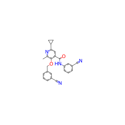 Cc1nc(C2CC2)cc(C(=O)Nc2cccc(C#N)c2)c1OCc1cccc(C#N)c1